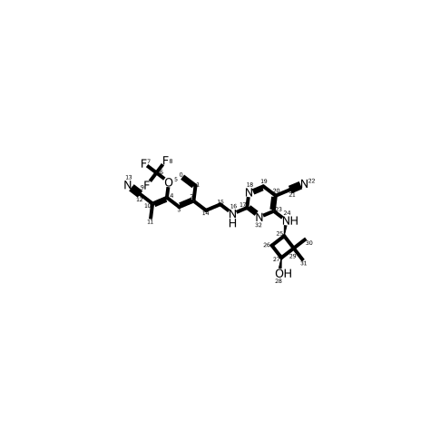 C=C/C(=C\C(OC(F)(F)F)=C(/C)C#N)CCNc1ncc(C#N)c(N[C@@H]2C[C@H](O)C2(C)C)n1